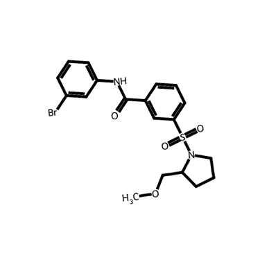 COCC1CCCN1S(=O)(=O)c1cccc(C(=O)Nc2cccc(Br)c2)c1